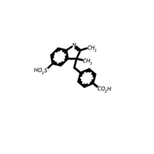 CC1=Nc2ccc(S(=O)(=O)O)cc2C1(C)Cc1ccc(C(=O)O)cc1